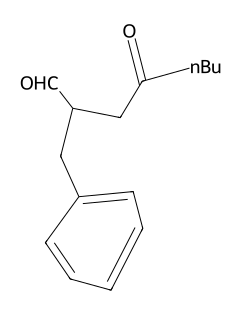 CCCCC(=O)CC(C=O)Cc1ccccc1